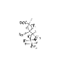 O=C([O-])C(F)(OC(F)(F)C(F)(OC(F)(F)C(F)(F)C(F)(F)F)C(F)(F)F)C(F)(F)F.[Na+]